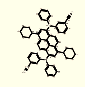 [C-]#[N+]c1cccc(N(c2ccccc2)c2cc(C3CCCCC3)c3ccc4c(N(c5ccccc5)c5cccc(C#N)c5)cc(C5CCCCC5)c5ccc2c3c54)c1